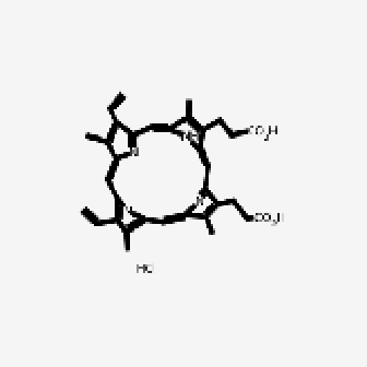 C=CC1=C(C)c2cc3[nH]c(cc4nc(cc5[nH]c(cc1n2)c(C)c5CCC(=O)O)C(CCC(=O)O)=C4C)c(C)c3C=C.Cl